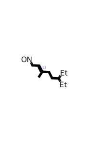 CCC(CC)CC/C(C)=C/CN=O